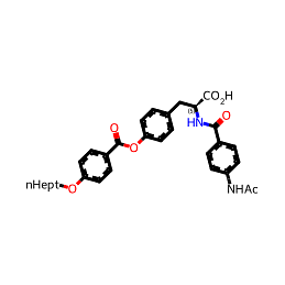 CCCCCCCOc1ccc(C(=O)Oc2ccc(C[C@H](NC(=O)c3ccc(NC(C)=O)cc3)C(=O)O)cc2)cc1